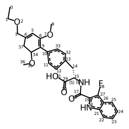 CCOCC1=CC(OC)=C(c2ccc(C[C@H](NC(=O)c3[nH]c4ccccc4c3F)C(=O)O)cc2)C(OC)C1